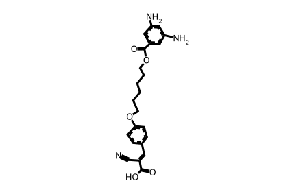 N#C/C(=C\c1ccc(OCCCCCCOC(=O)c2cc(N)cc(N)c2)cc1)C(=O)O